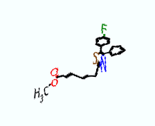 CCOC(=O)CCCCCc1nc(-c2ccccc2)c(-c2ccc(F)cc2)s1